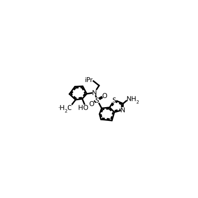 [CH2]c1cccc(N(CC(C)C)S(=O)(=O)c2cccc3nc(N)sc23)c1O